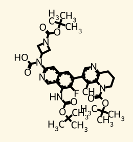 Cc1c(-c2cc3cc(N(C(=O)O)C4CN(C(=O)OC(C)(C)C)C4)ncc3c(NC(=O)OC(C)(C)C)c2F)cnc2c1N(C(=O)OC(C)(C)C)CCC2